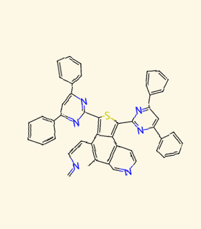 C=N/C=C\c1c(C)c2cnccc2c2c(-c3nc(-c4ccccc4)cc(-c4ccccc4)n3)sc(-c3nc(-c4ccccc4)cc(-c4ccccc4)n3)c12